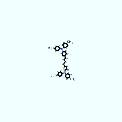 Cc1ccc(N(c2ccc(C)cc2)c2ccc(C=CC=Cc3ccc(N(c4ccc(C)cc4)c4ccc(C)cc4)s3)cc2)cc1